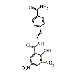 NC(=O)c1ccc(/C=N/NC(=O)c2cc([N+](=O)[O-])cc([N+](=O)[O-])c2O)cc1